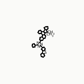 CC1(C)c2ccccc2-c2c1c1ccc3cc(-c4nc(-c5ccccc5)nc(-c5ccc6sc7ccccc7c6c5)n4)ccc3c1c1ccccc21